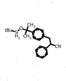 CC(C)(C)[SiH2]OC(C)(C)c1ccc(CC(C#N)c2ccccc2)cc1